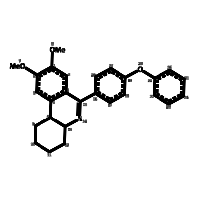 COc1cc2c(cc1OC)C1CCCCC1N=C2c1ccc(Oc2ccccc2)cc1